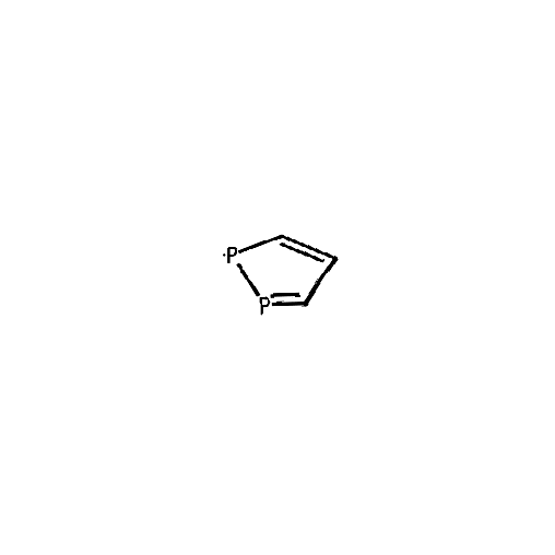 C1=C[P]P=C1